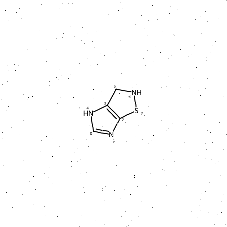 c1nc2c([nH]1)CNS2